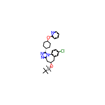 CC(C)(C)[Si](C)(C)OC1Cc2cc(Cl)ccc2-n2c(nnc2[C@H]2CC[C@H](Oc3ccccn3)CC2)C1